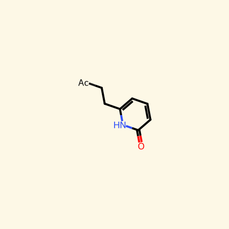 CC(=O)CCc1cccc(=O)[nH]1